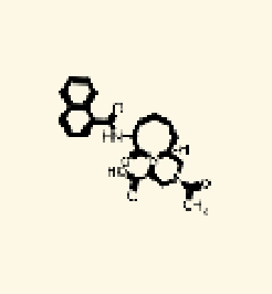 CC(=O)N1C[C@@H]2CCCC[C@H](NC(=O)c3cccc4ccccc34)C(=O)N2[C@H](C(=O)O)C1